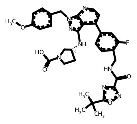 COc1ccc(Cn2nc(N[C@@H]3CCN(C(=O)O)C3)c3c(-c4ccc(CNC(=O)c5noc(C(C)(C)C)n5)c(F)c4)ccnc32)cc1